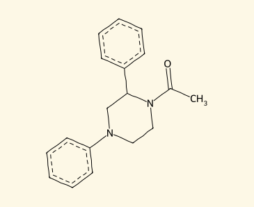 CC(=O)N1CCN(c2ccccc2)CC1c1ccccc1